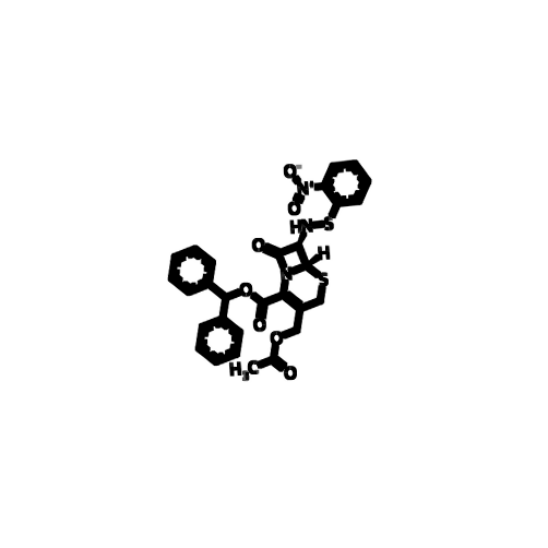 CC(=O)OCC1=C(C(=O)OC(c2ccccc2)c2ccccc2)N2C(=O)[C@@H](NSc3ccccc3[N+](=O)[O-])[C@@H]2SC1